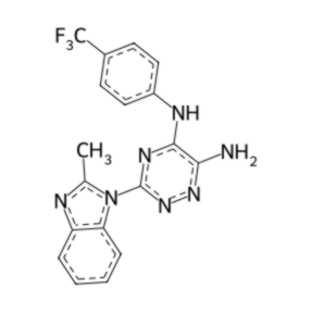 Cc1nc2ccccc2n1-c1nnc(N)c(Nc2ccc(C(F)(F)F)cc2)n1